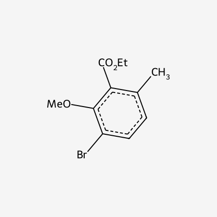 CCOC(=O)c1c(C)ccc(Br)c1OC